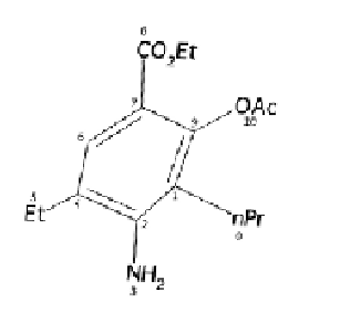 CCCc1c(N)c(CC)cc(C(=O)OCC)c1OC(C)=O